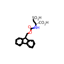 O=C(N[C@H](CS(=O)(=O)O)C(=O)O)OCC1c2ccccc2-c2ccccc21